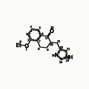 CCOc1cccc2c1CCC(Cc1c[nH]cn1)C2=O